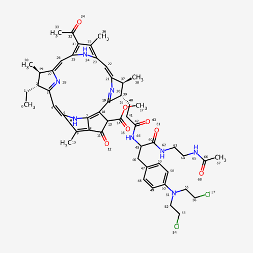 CC[C@H]1c2cc3[nH]c4c(c3C)C(=O)C(C(=O)OC)c4c3nc(cc4[nH]c(cc(n2)[C@@H]1C)c(C(C)=O)c4C)[C@@H](C)[C@@H]3CCC(=O)NC(Cc1ccc(N(CCCl)CCCl)cc1)C(=O)NCCNC(C)=O